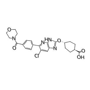 O=C(c1ccc(-c2nc3[nH]c(O[C@H]4CC[C@H](C(=O)O)CC4)nc3cc2Cl)cc1)N1CCOCC1